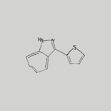 c1csc(-c2n[nH]c3ccccc23)c1